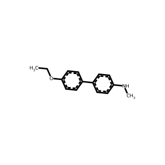 CCOc1ccc(-c2ccc(NC)cc2)cc1